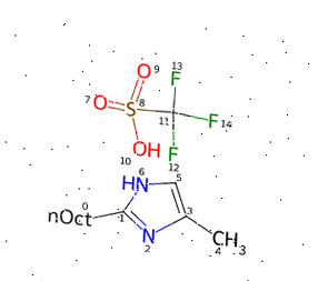 CCCCCCCCc1nc(C)c[nH]1.O=S(=O)(O)C(F)(F)F